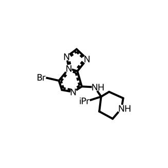 CC(C)C1(Nc2ncc(Br)n3ncnc23)CCNCC1